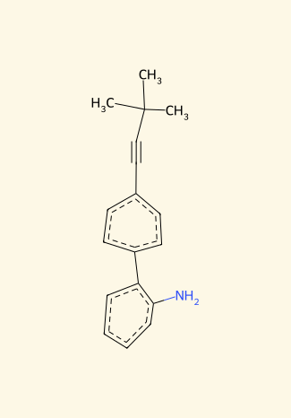 CC(C)(C)C#Cc1ccc(-c2ccccc2N)cc1